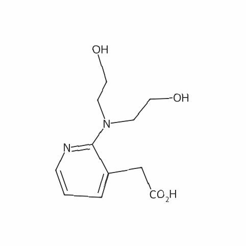 O=C(O)Cc1cccnc1N(CCO)CCO